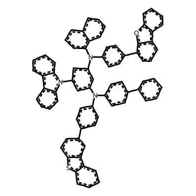 c1ccc(-c2ccc(N(c3ccc(-c4ccc5sc6ccccc6c5c4)cc3)c3cc(N(c4ccc(-c5cccc6c5oc5ccccc56)cc4)c4cccc5ccccc45)cc(-n4c5ccccc5c5ccccc54)c3)cc2)cc1